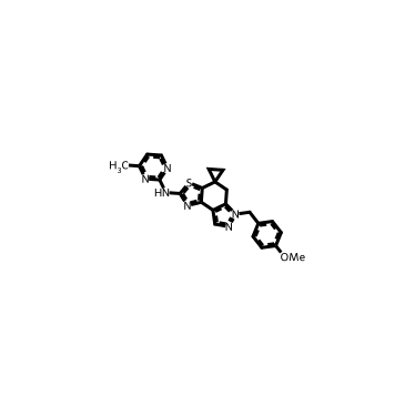 COc1ccc(Cn2ncc3c2CC2(CC2)c2sc(Nc4nccc(C)n4)nc2-3)cc1